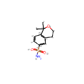 CC1(C)OCCc2cc(S(N)(=O)=O)ccc21